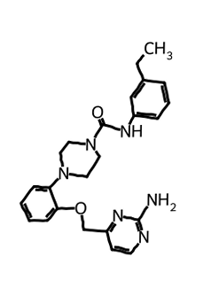 CCc1cccc(NC(=O)N2CCN(c3ccccc3OCc3ccnc(N)n3)CC2)c1